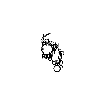 CCCCCC(C)CCOc1cc2cc(c1Cl)N(C)C(=O)C[C@H](OC(=O)[C@@H](C)N(C)C(=O)CCSCC(=O)N1CCC(C(=O)NC(CCC)(CCCC)C3CCCCCCCCCC3)CC1)[C@]1(C)O[C@H]1[C@H](C)[C@@H]1C[C@@](O)(NC(=O)O1)[C@H](OC)/C=C/C=C(\C)C2